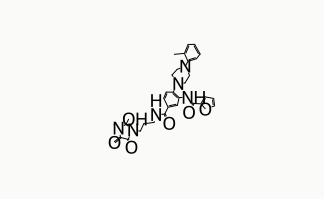 Cc1ccccc1N1CCN(c2ccc(C(=O)NCCCN3C(=O)C(=O)N(C)C3O)cc2NC(=O)c2ccco2)CC1